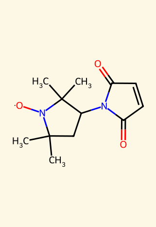 CC1(C)CC(N2C(=O)C=CC2=O)C(C)(C)N1[O]